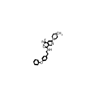 CN1CCN(c2cc(C(F)(F)F)c(C(=O)NCCc3ccc(Oc4ccccc4)cc3)cn2)CC1